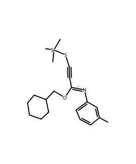 Cc1cccc(/N=C(/C#CS[Si](C)(C)C)OCC2CCCCC2)c1